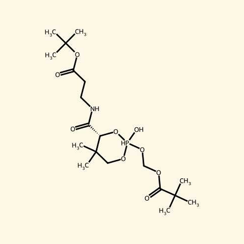 CC(C)(C)OC(=O)CCNC(=O)[C@@H]1O[PH](O)(OCOC(=O)C(C)(C)C)OCC1(C)C